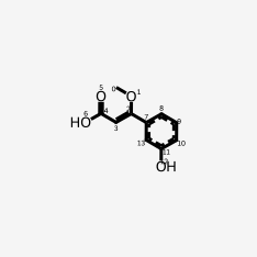 CO/C(=C\C(=O)O)c1cccc(O)c1